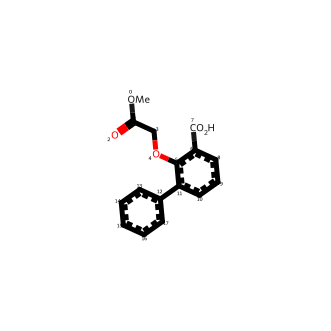 COC(=O)COc1c(C(=O)O)cccc1-c1ccccc1